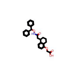 O=C(O)COc1cccc2c1CCCC2CC(=O)NOC(c1ccccc1)c1ccccc1